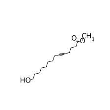 COC(=O)CCCC#CCCCCCCCCO